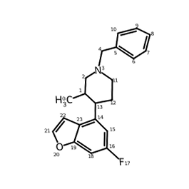 CC1CN(Cc2ccccc2)CCC1c1cc(F)cc2occc12